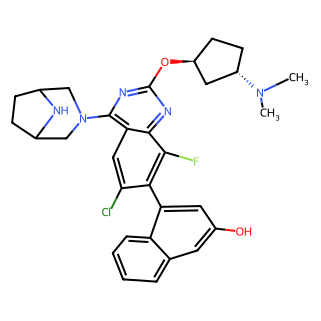 CN(C)[C@H]1CC[C@H](Oc2nc(N3CC4CCC(C3)N4)c3cc(Cl)c(-c4cc(O)cc5ccccc45)c(F)c3n2)C1